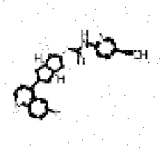 C#Cc1ccc(NC(=O)C[C@@H]2C[C@H]3CC(c4ccnc5ccc(F)cc45)C[C@H]3C2)nc1